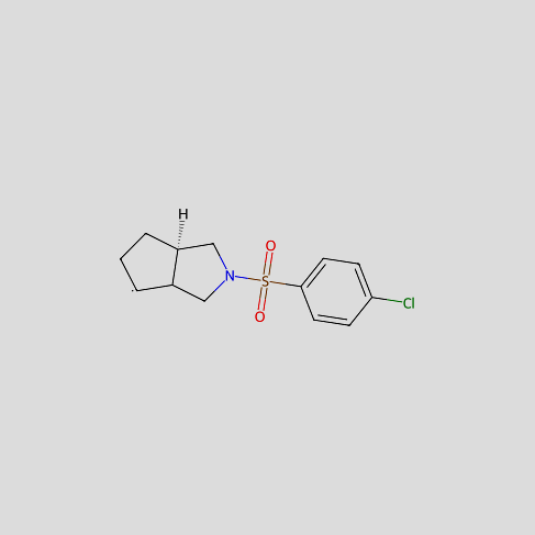 O=S(=O)(c1ccc(Cl)cc1)N1CC2[CH]CC[C@H]2C1